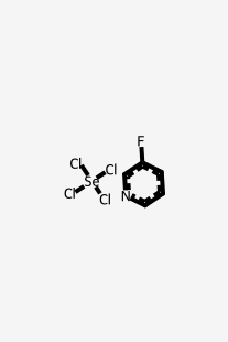 Cl[Se](Cl)(Cl)Cl.Fc1cccnc1